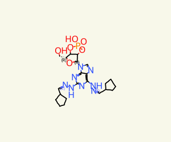 O=P1(O)OC2C(O1)[C@@H](CO)O[C@H]2n1cnc2c(N/N=C\C3CCCC3)nc(N/N=C\C3CCCC3)nc21